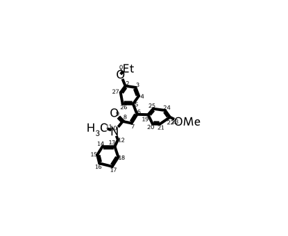 CCOc1ccc(/C(=C\C(=O)N(C)Cc2ccccc2)c2ccc(OC)cc2)cc1